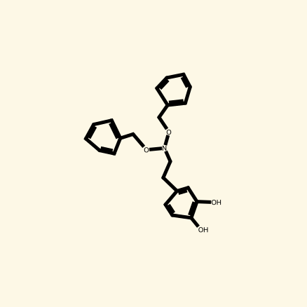 Oc1ccc(CCN(OCc2ccccc2)OCc2ccccc2)cc1O